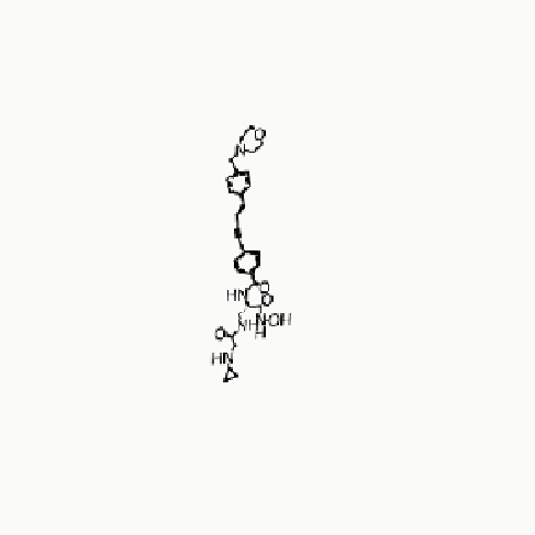 O=C(CNC1CC1)NC[C@H](NC(=O)c1ccc(C#C/C=C/c2ccc(CN3CCOCC3)cc2)cc1)C(=O)NO